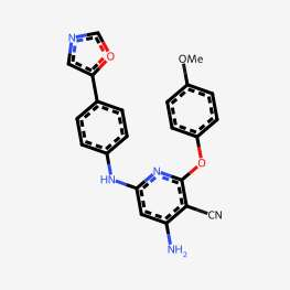 COc1ccc(Oc2nc(Nc3ccc(-c4cnco4)cc3)cc(N)c2C#N)cc1